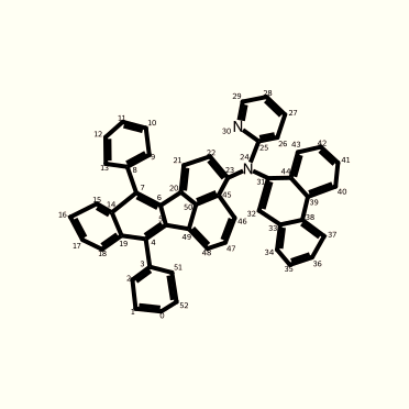 c1ccc(-c2c3c(c(-c4ccccc4)c4ccccc24)-c2ccc(N(c4ccccn4)c4cc5ccccc5c5ccccc45)c4cccc-3c24)cc1